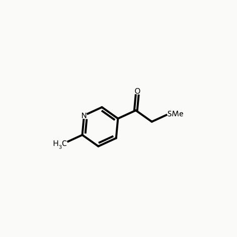 CSCC(=O)c1ccc(C)nc1